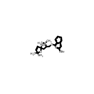 CCCCc1cc2ccccc2c(OCC(CC2(N)C=CC(C)(N)O2)N(C)C)n1